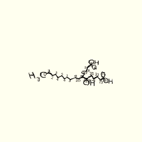 CCCCCCCCCCCC(SCCC(=O)O)C(O)CCCCC(=O)O